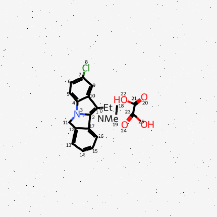 CCc1c2n(c3ccc(Cl)cc13)Cc1ccccc1-2.CNC.O=C(O)C(=O)O